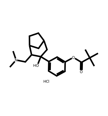 CN(C)CC1C2CCC(C2)CC1(O)c1cccc(OC(=O)C(C)(C)C)c1.Cl